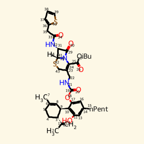 C=C(C)[C@@H]1CCC(C)=C[C@H]1c1c(O)cc(CCCCC)cc1OC(=O)NCC1=C(C(=O)OCC(C)C)N2C(=O)[C@@H](NC(=O)Cc3cccs3)[C@H]2SC1